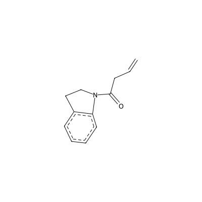 C=CCC(=O)N1CCc2ccccc21